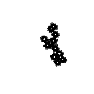 c1ccc(C2(c3ccccc3)c3ccccc3-c3ccc(-c4ccc(N(c5ccc(-c6cccc(-c7cccc8ccccc78)c6)cc5)c5cccc6c5sc5ccccc56)cc4)cc32)cc1